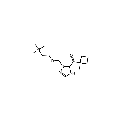 CC1(C(=O)C2NC=NN2COCC[Si](C)(C)C)CCC1